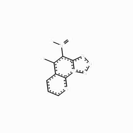 O=[N+]([O-])c1c(Cl)c2cccnc2n2nnnc12